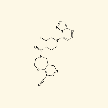 N#Cc1cncc2c1OCCN(C(=O)[C@H]1CCN(c3ccnc4ccnn34)C[C@@H]1F)C2